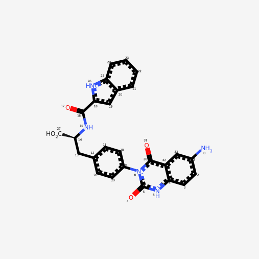 Nc1ccc2[nH]c(=O)n(-c3ccc(C[C@H](NC(=O)c4cc5ccccc5[nH]4)C(=O)O)cc3)c(=O)c2c1